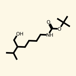 CC(C)C(CO)CCCCNC(=O)OC(C)(C)C